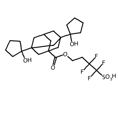 O=C(OCCC(F)(F)C(F)(F)S(=O)(=O)O)C12CC3CC(C4(O)CCCC4)(C1)CC(C1(O)CCCC1)(C3)C2